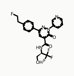 O=C(N[C@H](CO)C(F)(F)F)c1cc(-c2ccc(CCF)cc2)nn(-c2cccnc2)c1=O